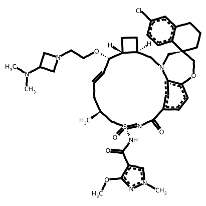 COc1nn(C)cc1C(=O)N[S@@]1(=O)=NC(=O)c2ccc3c(c2)N(C[C@@H]2CC[C@H]2[C@@H](OCCN2CC(N(C)C)C2)/C=C/C[C@H](C)C1)C[C@@]1(CCCc2cc(Cl)ccc21)CO3